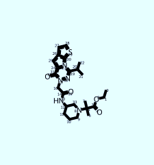 CCOC(=O)C(C)(C)N1CCCC(NC(=O)Cn2nc(C(C)C)n3c(cc4ccsc43)c2=O)C1